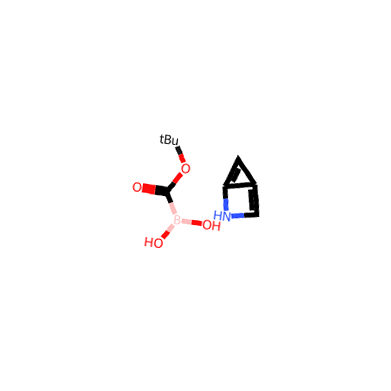 CC(C)(C)OC(=O)B(O)O.c1[nH]c2cc1-2